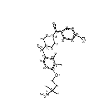 Cc1c(OCCC(C)(C)N)ccc([C@@H](C)N2CCN(C(=O)c3ccc(Cl)cc3)CC2)c1C